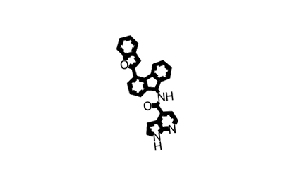 O=C(NC1c2ccccc2-c2c(-c3cc4ccccc4o3)cccc21)c1ccnc2[nH]ccc12